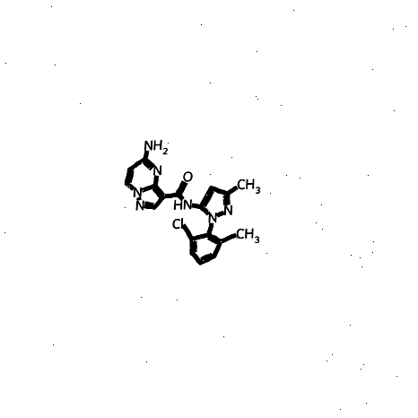 Cc1cc(NC(=O)c2cnn3ccc(N)nc23)n(-c2c(C)cccc2Cl)n1